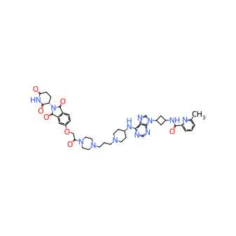 Cc1cccc(C(=O)NC2CC(n3cnc4c(NC5CCN(CCCN6CCN(C(=O)COc7ccc8c(c7)C(=O)N([C@H]7CCC(=O)NC7=O)C8=O)CC6)CC5)ncnc43)C2)n1